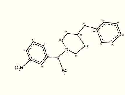 CC(=O)C(c1cccc([N+](=O)[O-])c1)N1CCC(Cc2ccccc2)CC1